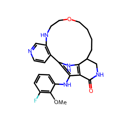 COc1c(F)cccc1Nc1c2[nH]c3c1C(=O)NCC3CCCCOCCNc1cnccc1-2